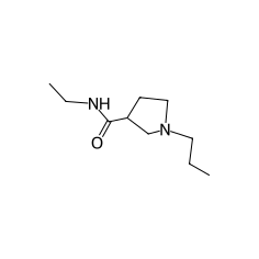 CCCN1CCC(C(=O)NCC)C1